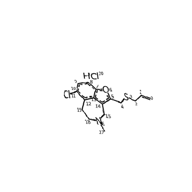 C=CCSCc1oc2ccc(Cl)c3c2c1CN(C)CC3.Cl